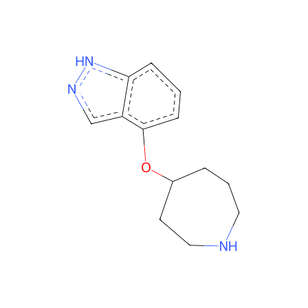 c1cc(OC2CCCNCC2)c2cn[nH]c2c1